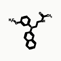 COc1cccc(N(CCNC(C)=O)c2ccc3ccccc3c2)c1